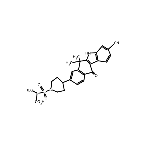 CC1(C)c2cc(C3CCN(S(=O)(=O)N(C(=O)O)C(C)(C)C)CC3)ccc2C(=O)c2c1[nH]c1cc(C#N)ccc21